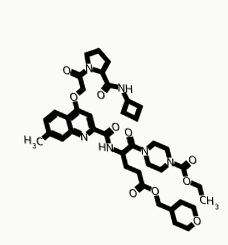 CCOC(=O)N1CCN(C(=O)C(CCC(=O)OCC2CCOCC2)NC(=O)c2cc(OCC(=O)N3CCCC3C(=O)NC3CCC3)c3ccc(C)cc3n2)CC1